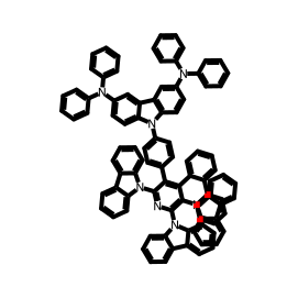 c1ccc(-c2ccccc2-c2c(-c3ccc(-n4c5ccc(N(c6ccccc6)c6ccccc6)cc5c5cc(N(c6ccccc6)c6ccccc6)ccc54)cc3)c(-n3c4ccccc4c4ccccc43)nc(-n3c4ccccc4c4ccccc43)c2-n2c3ccccc3c3ccccc32)cc1